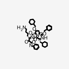 NCCCC[C@H](NC(=O)[C@@H]1[C@@H](OCC2CCCCC2)CCN1C(=O)[C@@H](CC1CCCCC1)NC(=O)OCc1ccccc1)C(=O)c1nc2ccccc2o1